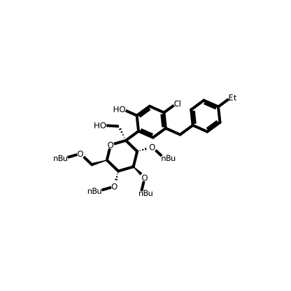 CCCCOC[C@H]1O[C@@](CO)(c2cc(Cc3ccc(CC)cc3)c(Cl)cc2O)[C@H](OCCCC)[C@@H](OCCCC)[C@@H]1OCCCC